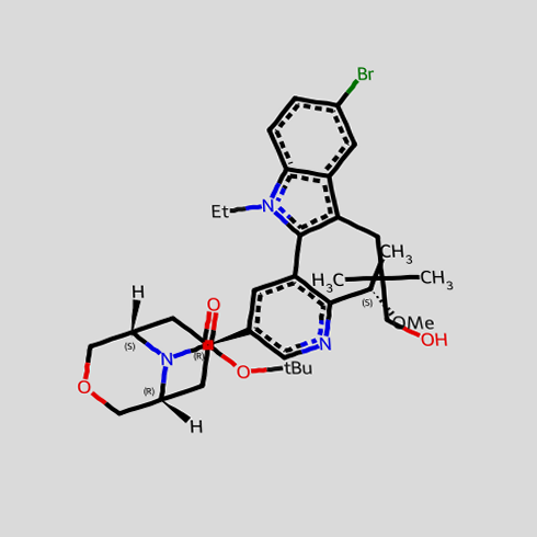 CCn1c(-c2cc([C@@H]3C[C@H]4COC[C@@H](C3)N4C(=O)OC(C)(C)C)cnc2[C@H](C)OC)c(CC(C)(C)CO)c2cc(Br)ccc21